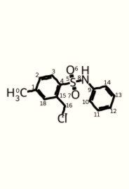 Cc1ccc(S(=O)(=O)Nc2ccccc2)c(CCl)c1